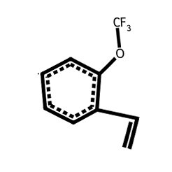 C=Cc1cc[c]cc1OC(F)(F)F